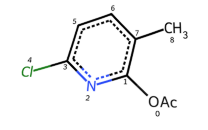 CC(=O)Oc1nc(Cl)ccc1C